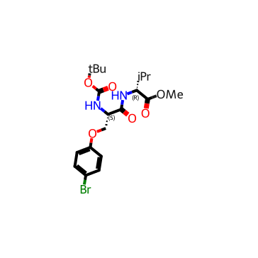 COC(=O)[C@H](NC(=O)[C@H](COc1ccc(Br)cc1)NC(=O)OC(C)(C)C)C(C)C